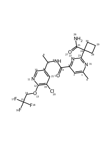 Cc1cc(C(=O)NC(C)c2cnc(OCC(F)(F)F)c(Cl)c2)nc(C2(C(N)=O)CCC2)n1